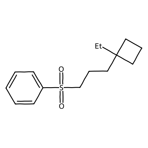 CCC1(CCCS(=O)(=O)c2ccccc2)CCC1